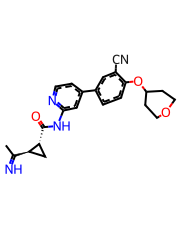 CC(=N)[C@@H]1C[C@H]1C(=O)Nc1cc(-c2ccc(OC3CCOCC3)c(C#N)c2)ccn1